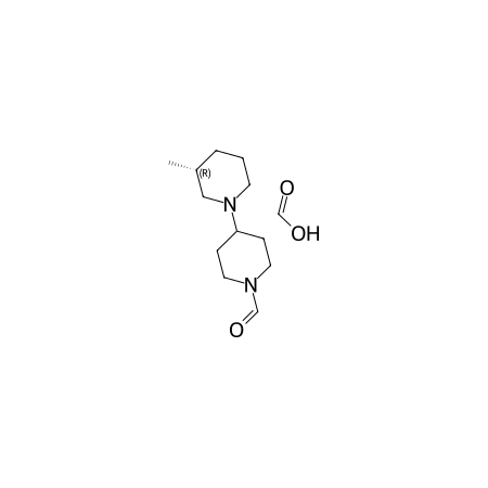 C[C@@H]1CCCN(C2CCN(C=O)CC2)C1.O=CO